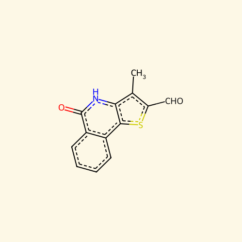 Cc1c(C=O)sc2c1[nH]c(=O)c1ccccc12